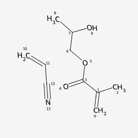 C=C(C)C(=O)OCC(C)O.C=CC#N